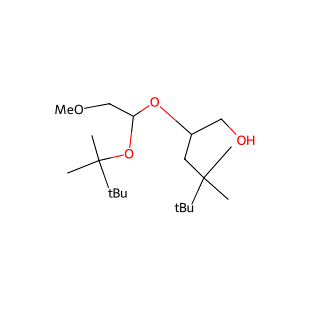 COCC(OC(CO)CC(C)(C)C(C)(C)C)OC(C)(C)C(C)(C)C